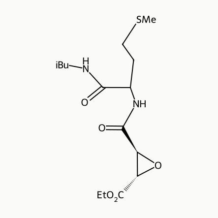 CCOC(=O)[C@H]1O[C@@H]1C(=O)NC(CCSC)C(=O)NC(C)CC